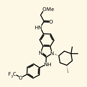 COCC(=O)Nc1ccc2c(c1)nc(Nc1ccc(OC(F)(F)F)cc1)n2[C@H]1C[C@@H](C)CC(C)(C)C1